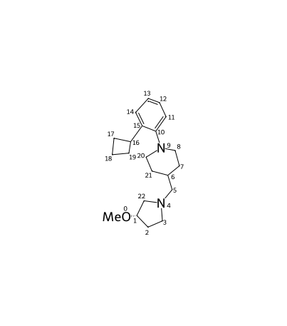 CO[C@H]1CCN(CC2CCN(c3cc[c]cc3C3CCC3)CC2)C1